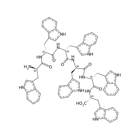 N[C@H](Cc1c[nH]c2ccccc12)C(=O)N[C@H](Cc1c[nH]c2ccccc12)C(=O)N[C@H](Cc1c[nH]c2ccccc12)C(=O)N[C@H](Cc1c[nH]c2ccccc12)C(=O)N[C@H](Cc1c[nH]c2ccccc12)C(=O)N[C@H](Cc1c[nH]c2ccccc12)C(=O)O